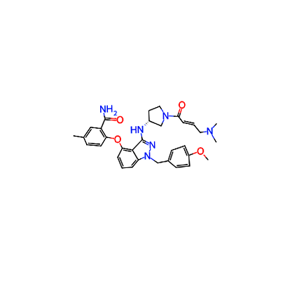 COc1ccc(Cn2nc(N[C@@H]3CCN(C(=O)/C=C/CN(C)C)C3)c3c(Oc4ccc(C)cc4C(N)=O)cccc32)cc1